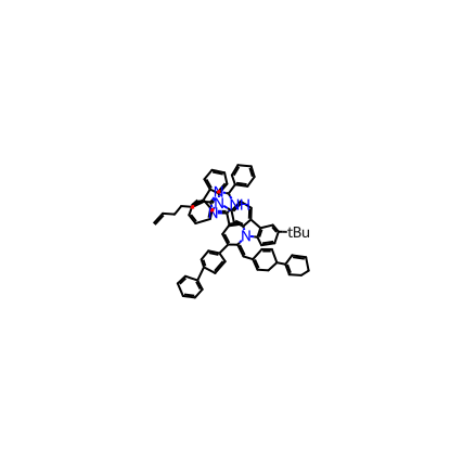 C=CCC/C=C/C1=NC(c2ccccc2)NC(C(=C)/C=C(\C(=C\C2=CCC(C3=CCCC=C3)C=C2)n2c3ccc(C(C)(C)C)cc3c3ccc(-n4c5ccccc5c5ccccc54)cc32)c2ccc(-c3ccccc3)cc2)=N1